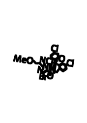 COCCCc1nc(Br)c(C(=O)NCc2ccc(Cl)c(Oc3cc(Cl)cc(C#N)c3)c2F)[nH]1